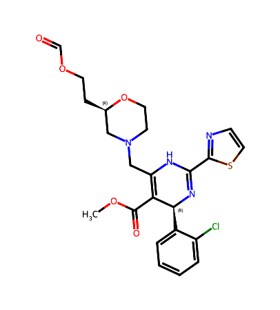 COC(=O)C1=C(CN2CCO[C@H](CCOC=O)C2)NC(c2nccs2)=N[C@H]1c1ccccc1Cl